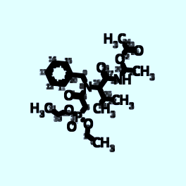 CCOP(=O)(CC(=O)N(Cc1ccccc1)C(C(=O)NC(C)OC(C)=O)C(C)C)OCC